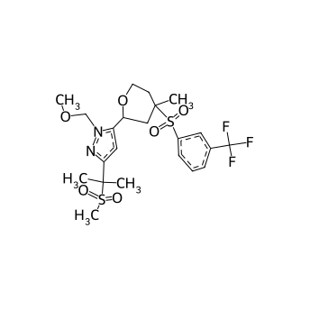 COCn1nc(C(C)(C)S(C)(=O)=O)cc1C1CC(C)(S(=O)(=O)c2cccc(C(F)(F)F)c2)CCO1